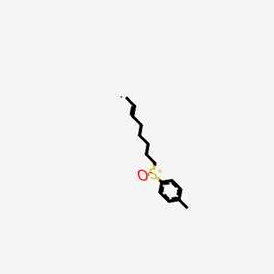 [CH2]/C=C/CCCCC[S+]([O-])c1ccc(C)cc1